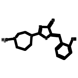 CN1CCCN(C2=NC(=O)C(=Cc3ccccc3O)S2)CC1